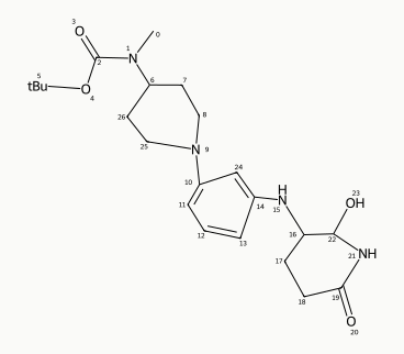 CN(C(=O)OC(C)(C)C)C1CCN(c2cccc(NC3CCC(=O)NC3O)c2)CC1